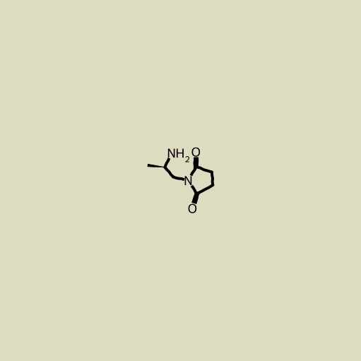 C[C@@H](N)CN1C(=O)CCC1=O